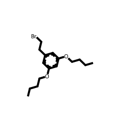 CCCCOc1cc(CCBr)cc(OCCCC)c1